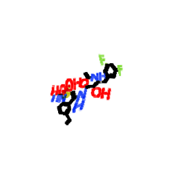 CCc1ccc2c(c1)C(NC[C@H](O)[C@H](Cc1cc(F)cc(F)c1)NC(C)=O)CS(O)(O)N2